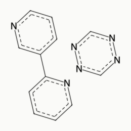 c1ccc(-c2cccnc2)nc1.c1nncnn1